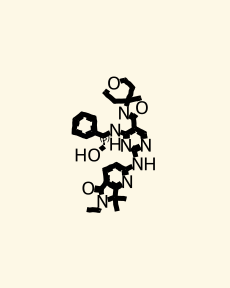 CCN1C(=O)c2ccc(Nc3ncc(C4=NC5(CCOCC5)CO4)c(N[C@H](CO)c4ccccc4)n3)nc2C1(C)C